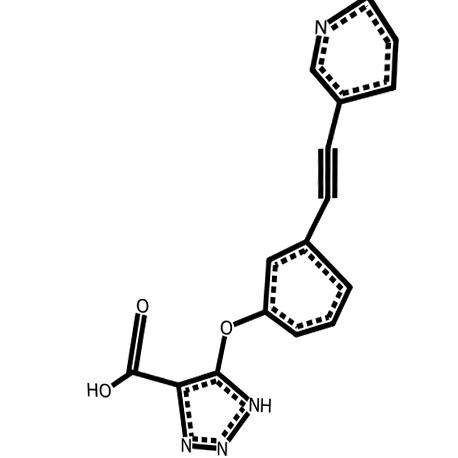 O=C(O)c1nn[nH]c1Oc1cccc(C#Cc2cccnc2)c1